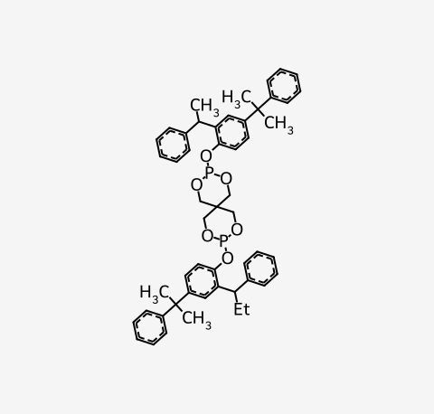 CCC(c1ccccc1)c1cc(C(C)(C)c2ccccc2)ccc1OP1OCC2(COP(Oc3ccc(C(C)(C)c4ccccc4)cc3C(C)c3ccccc3)OC2)CO1